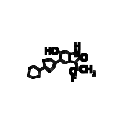 C/C(OF)=C1\C(=O)Nc2cc(O)c(-c3ccc(C4CCCCC4)cc3)cc21